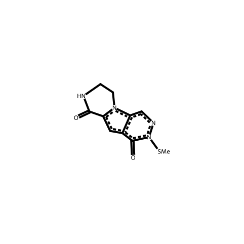 CSn1ncc2c(cc3n2CCNC3=O)c1=O